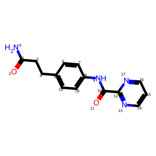 NC(=O)CCc1ccc(NC(=O)c2ncccn2)cc1